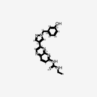 CCNC(=S)Nc1ccc2ncc(-c3cnn(Cc4cccc(O)c4)c3)nc2n1